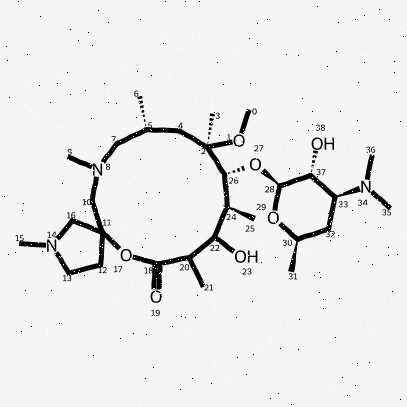 CO[C@]1(C)C[C@@H](C)CN(C)CC2(CCN(C)C2)OC(=O)C(C)C(O)[C@H](C)[C@H]1O[C@@H]1O[C@H](C)C[C@H](N(C)C)[C@H]1O